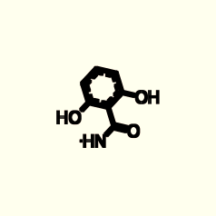 [NH]C(=O)c1c(O)cccc1O